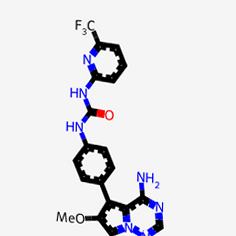 COc1cn2ncnc(N)c2c1-c1ccc(NC(=O)Nc2cccc(C(F)(F)F)n2)cc1